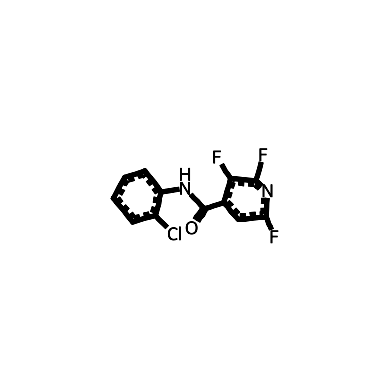 O=C(Nc1ccccc1Cl)c1cc(F)nc(F)c1F